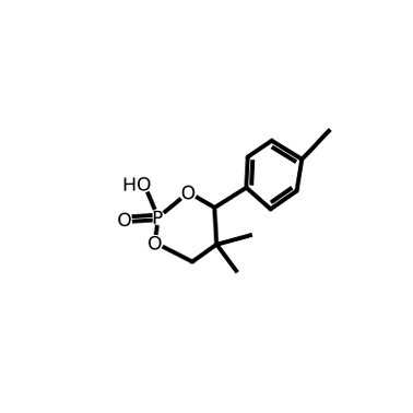 Cc1ccc(C2OP(=O)(O)OCC2(C)C)cc1